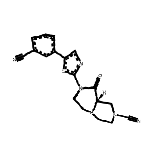 N#Cc1cccc(-c2cnc(N3CCN4CCN(C#N)C[C@H]4C3=O)s2)c1